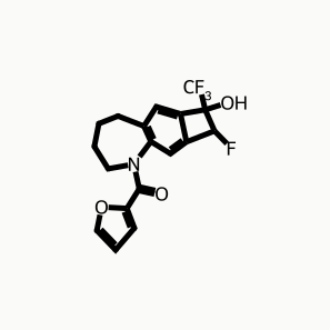 O=C(c1ccco1)N1CCCCc2cc3c(cc21)C(F)C3(O)C(F)(F)F